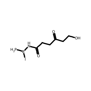 O=C(CCO)CCC(=O)NB(P)I